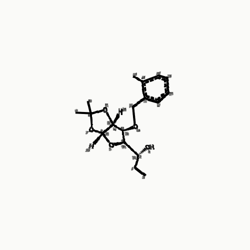 CC[C@@H](O)[C@H]1O[C@@H]2OC(C)(C)O[C@@H]2[C@H]1OCc1ccccc1C